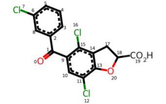 O=C(c1cccc(Cl)c1)c1cc(Cl)c2c(c1Cl)CC(C(=O)O)O2